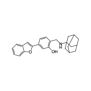 Oc1cc(-c2cc3ccccc3o2)ccc1CNC12CC3CC(CC(C3)C1)C2